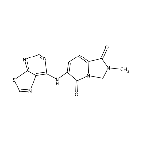 CN1Cn2c(ccc(Nc3ncnc4scnc34)c2=O)C1=O